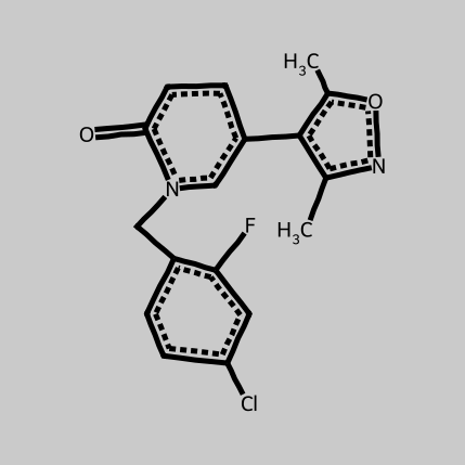 Cc1noc(C)c1-c1ccc(=O)n(Cc2ccc(Cl)cc2F)c1